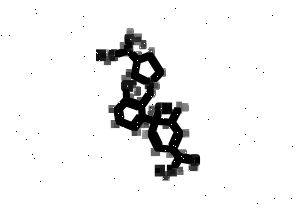 CN(C)C1CCN(Cc2c(C(F)(F)F)cccc2C2(C)C=CC(C(N)=O)=CC2I)C1